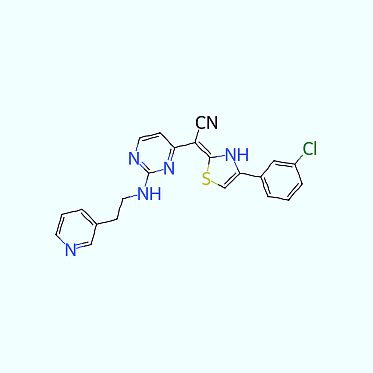 N#C/C(=C1\NC(c2cccc(Cl)c2)=CS1)c1ccnc(NCCc2cccnc2)n1